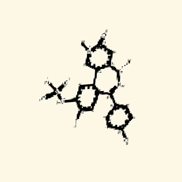 CCS(=O)(=O)Nc1cc2c(cc1F)C(c1ccc(Cl)cc1)=N[C@@H](C)c1cc(=O)n(C)cc1-2